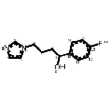 OC(CCCn1ccnc1)c1ccc(F)cc1